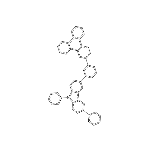 c1ccc(-c2ccc3c(c2)c2cc(-c4cccc(-c5ccc6c7ccccc7c7ccccc7c6c5)c4)ccc2n3-c2ccccc2)cc1